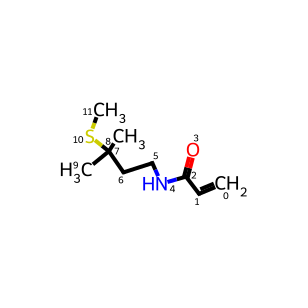 C=CC(=O)NCCC(C)(C)SC